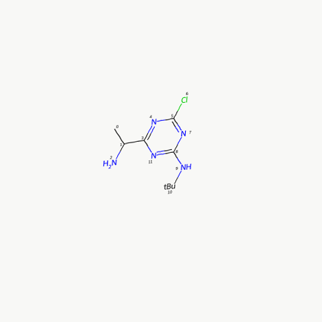 CC(N)c1nc(Cl)nc(NC(C)(C)C)n1